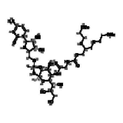 COCCOCC(COC(=O)NCC(=O)N[C@H]1C([C@H](O)[C@H](O)CO)O[C@@](C)(OP(C)(=O)OCC2OC(n3ccc(N)nc3=O)[C@H](O)[C@@H]2O)C[C@H]1O)OCCOC